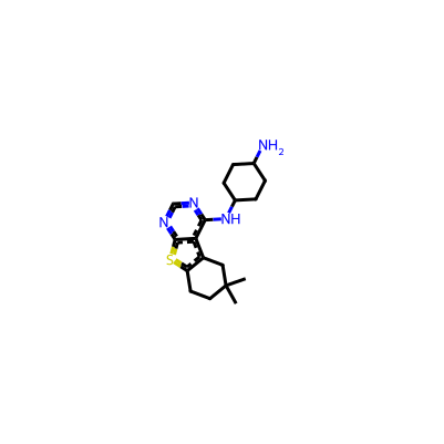 CC1(C)CCc2sc3ncnc(NC4CCC(N)CC4)c3c2C1